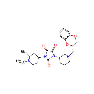 CC(C)(C)C1CC(N2C(=O)C(=O)N([C@H]3CCCN(C[C@H]4COc5ccccc5O4)C3)C2=O)CCN1C(=O)O